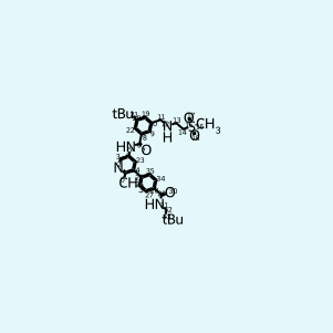 Cc1ncc(NC(=O)c2cc(CNCCS(C)(=O)=O)cc(C(C)(C)C)c2)cc1-c1ccc(C(=O)NCC(C)(C)C)cc1